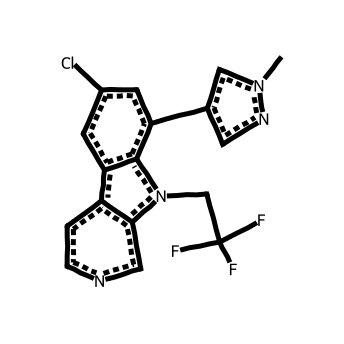 Cn1cc(-c2cc(Cl)cc3c4ccncc4n(CC(F)(F)F)c23)cn1